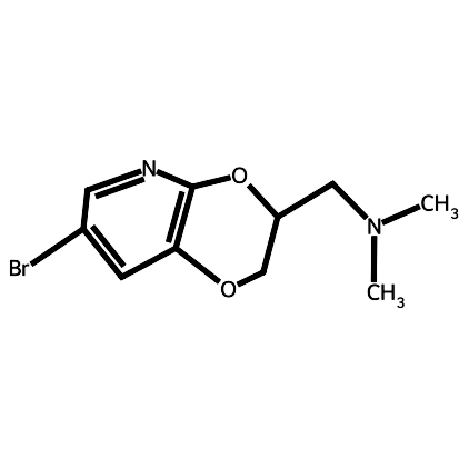 CN(C)CC1COc2cc(Br)cnc2O1